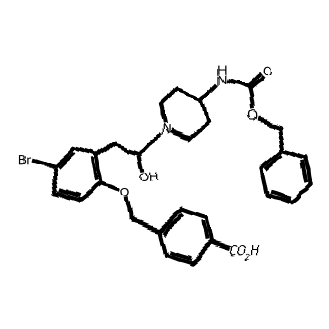 O=C(NC1CCN(C(O)Cc2cc(Br)ccc2OCc2ccc(C(=O)O)cc2)CC1)OCc1ccccc1